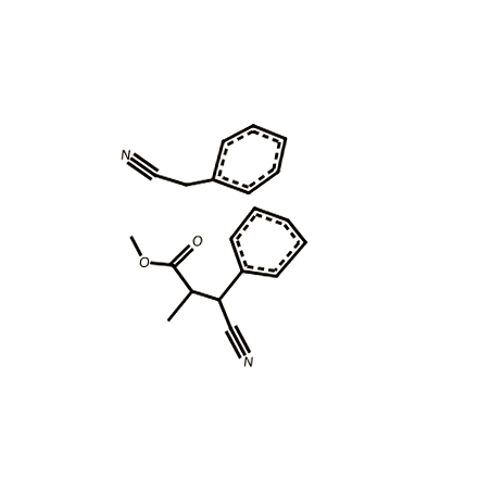 COC(=O)C(C)C(C#N)c1ccccc1.N#CCc1ccccc1